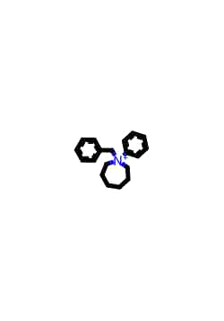 c1ccc(C[N+]2(c3ccccc3)CCCCCC2)cc1